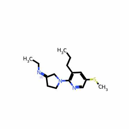 CCCc1cc(SC)cnc1N1CC/C(=N/CC)C1